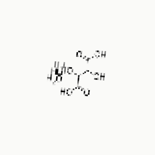 O.O=C(O)C(O)C(O)C(=O)O.[LiH].[LiH]